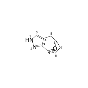 c1[nH]nc2c1CC1CCC2O1